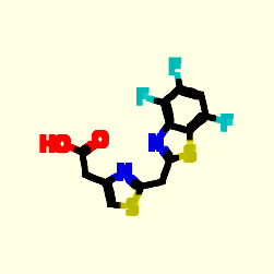 O=C(O)Cc1csc(Cc2nc3c(F)c(F)cc(F)c3s2)n1